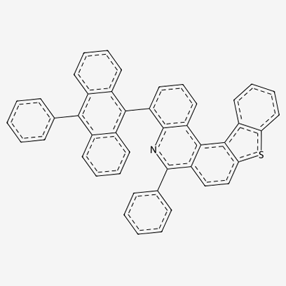 c1ccc(-c2c3ccccc3c(-c3cccc4c3nc(-c3ccccc3)c3ccc5sc6ccccc6c5c34)c3ccccc23)cc1